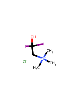 C[N+](C)(C)CC(O)(I)I.[Cl-]